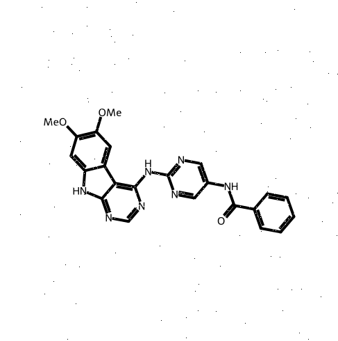 COc1cc2[nH]c3ncnc(Nc4ncc(NC(=O)c5ccccc5)cn4)c3c2cc1OC